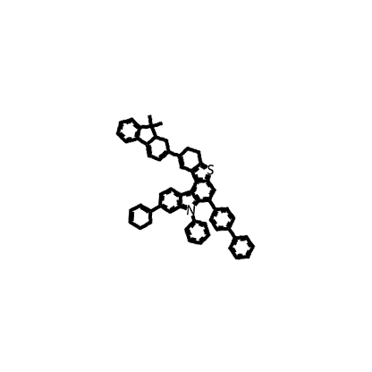 CC1(C)c2ccccc2C2=CC=C(C3=Cc4c(sc5cc(-c6ccc(-c7ccccc7)cc6)c6c(c7ccc(C8=CC=CCC8)cc7n6-c6ccccc6)c45)CC3)CC21